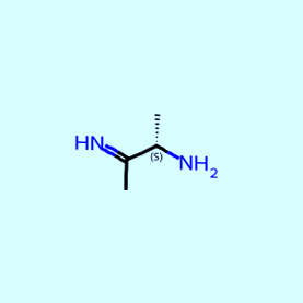 CC(=N)[C@H](C)N